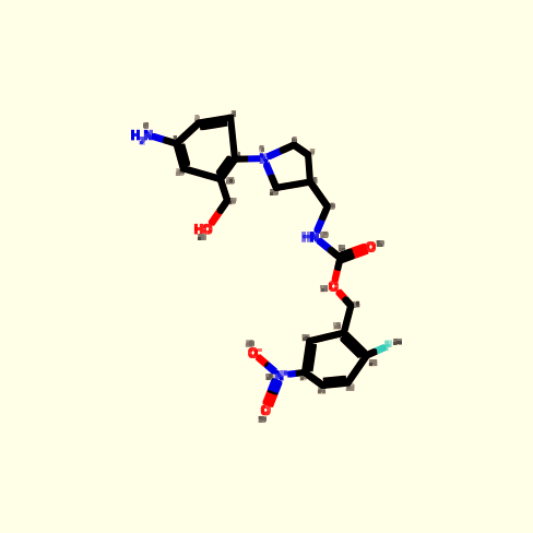 Nc1ccc(N2CCC(CNC(=O)OCc3cc([N+](=O)[O-])ccc3F)C2)c(CO)c1